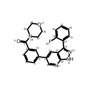 O=C(c1cccc(-c2cnc3[nH]nc(-c4ccccc4F)c3c2)c1)N1CCOCC1